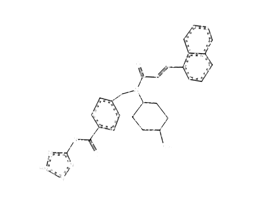 CC(C)(C)C1CCC(N(Cc2ccc(C(=O)Nc3nn[nH]n3)cc2)C(=O)C=Cc2cccc3ccccc23)CC1